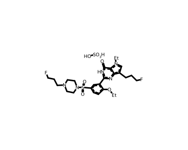 CCOc1ccc(S(=O)(=O)N2CCN(CCCF)CC2)cc1-c1nc2c(CCCF)cn(CC)c2c(=O)[nH]1.O=S(=O)(O)O